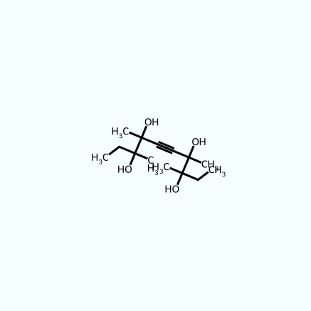 CCC(C)(O)C(C)(O)C#CC(C)(O)C(C)(O)CC